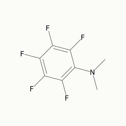 CN(C)c1c(F)c(F)c(F)c(F)c1F